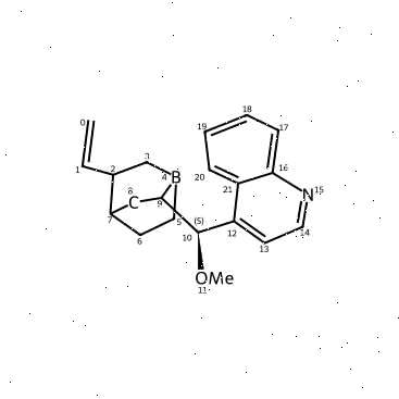 C=CC1CB2CCC1CC2[C@H](OC)c1ccnc2ccccc12